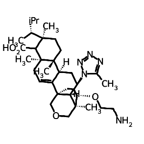 Cc1nnnn1[C@@H]1C[C@@]23COC[C@@](C)([C@@H]2CC[C@H]2C3=CC[C@@]3(C)C(C(=O)O)[C@@](C)([C@H](C)C(C)C)CC[C@]23C)[C@H]1OCCN